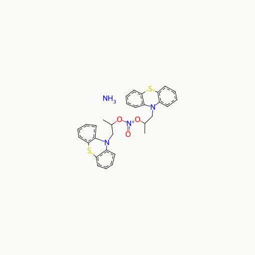 CC(CN1c2ccccc2Sc2ccccc21)O[N+](=O)OC(C)CN1c2ccccc2Sc2ccccc21.N